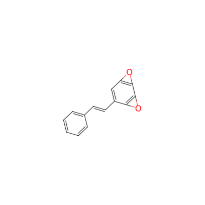 C(=C\c1cc2oc2c2oc12)/c1ccccc1